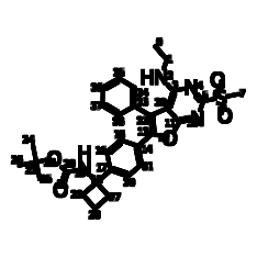 CCNc1nc(S(C)(=O)=O)nc2oc(-c3ccc(C4(NC(=O)OC(C)(C)C)CCC4)cc3)c(-c3ccccc3)c12